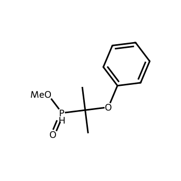 CO[PH](=O)C(C)(C)Oc1ccccc1